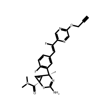 C#CCOc1cnc(/C(F)=C/c2ccc(F)c([C@@]3(C)N=C(N)S[C@@]4(C(=O)N(C)C)C=C43)c2)cn1